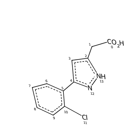 O=C(O)Cc1cc(-c2ccccc2Cl)n[nH]1